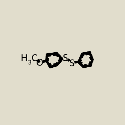 COc1ccc(SSc2ccccc2)cc1